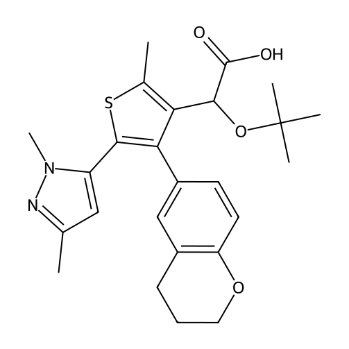 Cc1cc(-c2sc(C)c(C(OC(C)(C)C)C(=O)O)c2-c2ccc3c(c2)CCCO3)n(C)n1